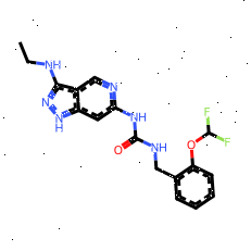 CCNc1n[nH]c2cc(NC(=O)NCc3ccccc3OC(F)F)ncc12